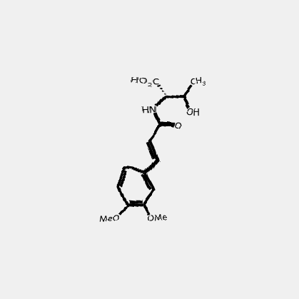 COc1ccc(/C=C/C(=O)N[C@H](C(=O)O)C(C)O)cc1OC